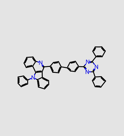 c1ccc(-c2nc(-c3ccccc3)nc(-c3ccc(-c4ccc(-c5nc6ccccc6c6c5c5ccccc5n6-c5ccccc5)cc4)cc3)n2)cc1